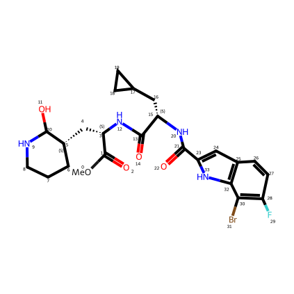 COC(=O)[C@H](C[C@@H]1CCCNC1O)NC(=O)[C@H](CC1CC1)NC(=O)c1cc2ccc(F)c(Br)c2[nH]1